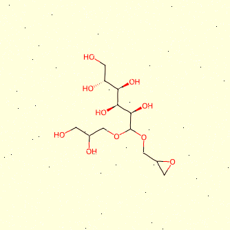 OCC(O)COC(OCC1CO1)[C@H](O)[C@@H](O)[C@H](O)[C@H](O)CO